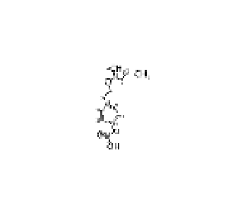 CCCC(C)OCCc1ccc(CC(=O)O)cc1